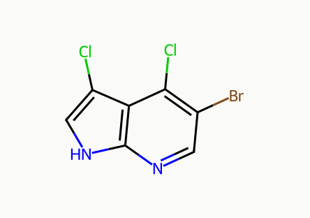 Clc1c[nH]c2ncc(Br)c(Cl)c12